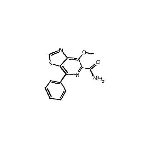 COc1c(C(N)=O)nc(-c2ccccc2)c2s[c]nc12